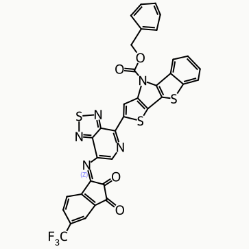 O=C(OCc1ccccc1)n1c2cc(-c3ncc(/N=c4\c(=O)c(=O)c5cc(C(F)(F)F)ccc45)c4nsnc34)sc2c2sc3ccccc3c21